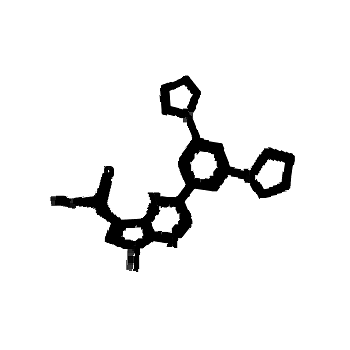 CC(C)(C)C(=O)c1c[nH]c2ncc(-c3cc(N4CCCC4)cc(N4CCCC4)c3)nc12